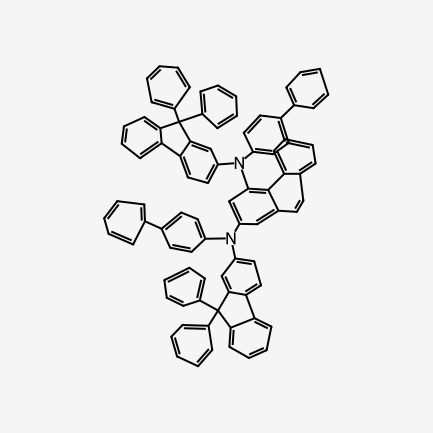 c1ccc(-c2ccc(N(c3ccc4c(c3)C(c3ccccc3)(c3ccccc3)c3ccccc3-4)c3cc(N(c4ccc(-c5ccccc5)cc4)c4ccc5c(c4)C(c4ccccc4)(c4ccccc4)c4ccccc4-5)c4c(ccc5ccccc54)c3)cc2)cc1